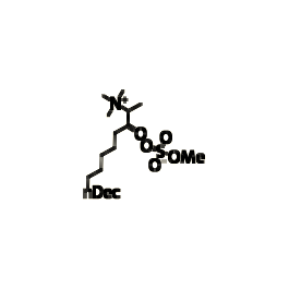 CCCCCCCCCCCCCCCC(=O)C(C)[N+](C)(C)C.COS(=O)(=O)[O-]